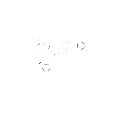 COCC(=O)N[C@H]1CCNC(=O)c2cc(F)ccc2OC[C@@H]2C[C@H](N3CCN(Cc4ccccc4)CC3)CN2C1=O